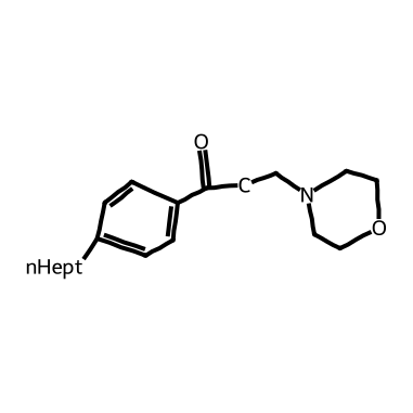 CCCCCCCc1ccc(C(=O)CCN2CCOCC2)cc1